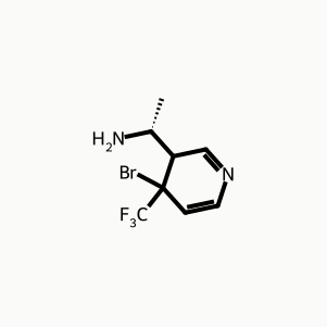 C[C@@H](N)C1C=NC=CC1(Br)C(F)(F)F